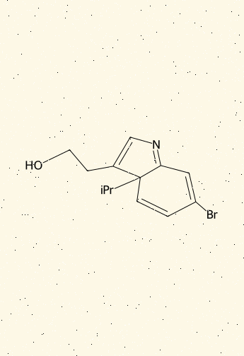 CC(C)C12C=CC(Br)=CC1=NC=C2CCO